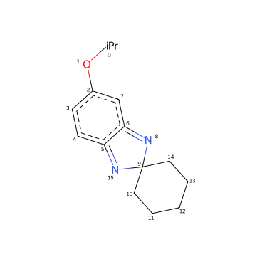 CC(C)Oc1ccc2c(c1)=NC1(CCCCC1)N=2